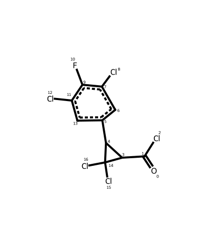 O=C(Cl)C1C(c2cc(Cl)c(F)c(Cl)c2)C1(Cl)Cl